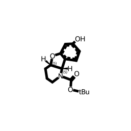 CC(C)(C)OC(=O)N1CCC[C@@H]2Oc3cc(O)ccc3[C@@H]21